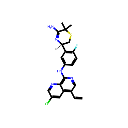 C=Cc1cnc(Nc2ccc(F)c([C@]3(C)CSC(C)(C)C(N)=N3)c2)c2ncc(Cl)cc12